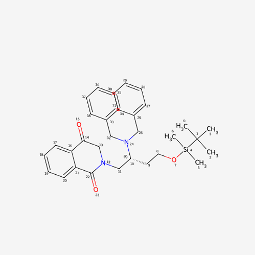 CC(C)(C)[Si](C)(C)OCC[C@H](CN1CC(=O)c2ccccc2C1=O)N(Cc1ccccc1)Cc1ccccc1